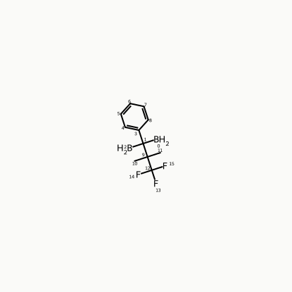 BC(B)(c1ccccc1)C(C)(C)C(F)(F)F